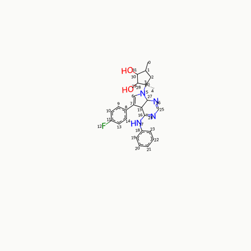 CC1C[C@@](C)(N2C=C(c3ccc(F)cc3)C3C(Nc4ccccc4)=NC=NC32)C(O)C1O